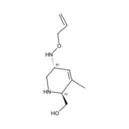 C=CCON[C@@H]1C=C(C)[C@@H](CO)NC1